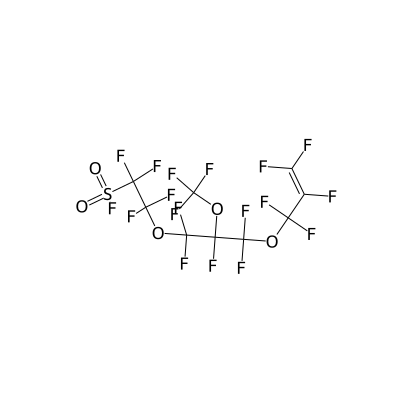 O=S(=O)(F)C(F)(F)C(F)(F)OC(F)(F)C(F)(OC(F)(F)F)C(F)(F)OC(F)(F)C(F)=C(F)F